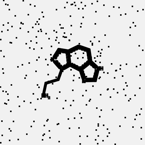 NCCn1ncc2ccc3[nH]cnc3c21